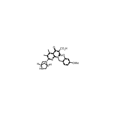 COc1ccc(Cn2cc(C(=O)O)c(=O)c3c(C)c(C)c(N4C[C@@H]5C[C@H]4CN5)nc32)c(OC)c1